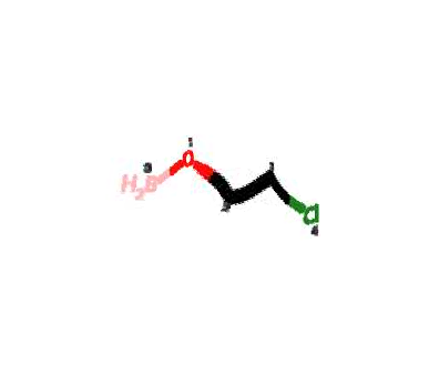 BOCCCl